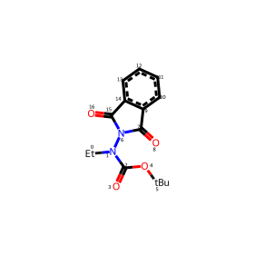 CCN(C(=O)OC(C)(C)C)N1C(=O)c2ccccc2C1=O